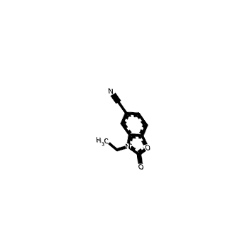 CCn1c(=O)oc2ccc(C#N)cc21